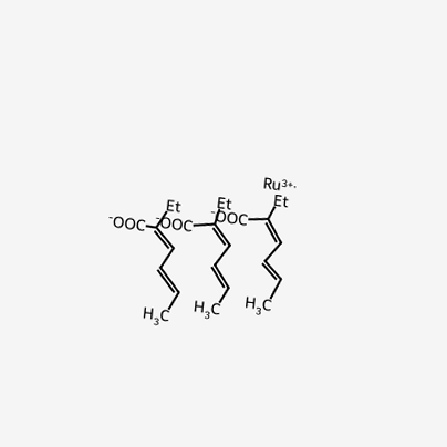 CC=CC=C(CC)C(=O)[O-].CC=CC=C(CC)C(=O)[O-].CC=CC=C(CC)C(=O)[O-].[Ru+3]